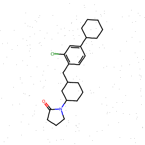 O=C1CCCN1C1CCCC(Cc2ccc(C3CCCCC3)cc2Cl)C1